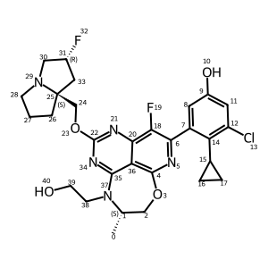 C[C@H]1COc2nc(-c3cc(O)cc(Cl)c3C3CC3)c(F)c3nc(OC[C@@]45CCCN4C[C@H](F)C5)nc(c23)N1CCO